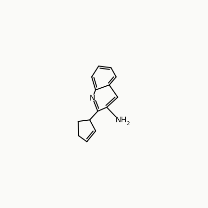 Nc1cc2ccccc2nc1C1C=CCC1